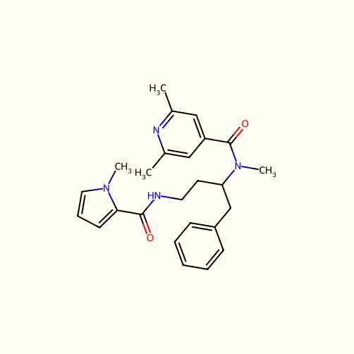 Cc1cc(C(=O)N(C)C(CCNC(=O)c2cccn2C)Cc2ccccc2)cc(C)n1